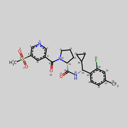 CS(=O)(=O)c1cncc(C(=O)N2CCC[C@@H]2C(=O)N[C@@H](c2ccc(C(F)(F)F)cc2F)C2CC2)c1